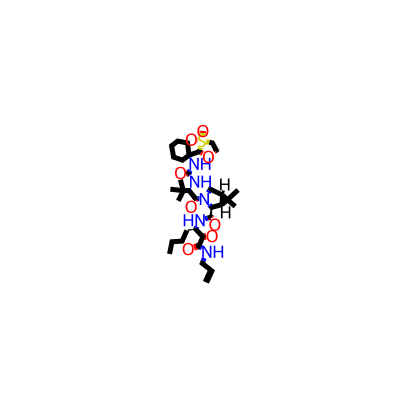 C=CCNC(=O)C(=O)[C@H](CCCC)NC(=O)[C@@H]1[C@@H]2[C@H](CN1C(=O)[C@@H](NC(=O)NC1(C3OCCS3(=O)=O)CCCCC1)C(C)(C)C)C2(C)C